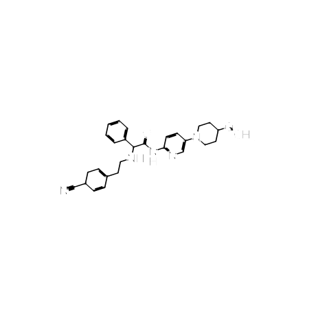 COC1CCN(c2ccc(NC(=O)C(NCCC3=CCC(C#N)C=C3)c3ccccc3)nc2)CC1